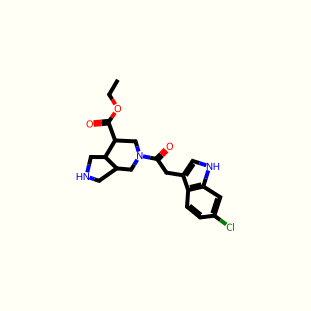 CCOC(=O)C1CN(C(=O)Cc2c[nH]c3cc(Cl)ccc23)CC2CNCC21